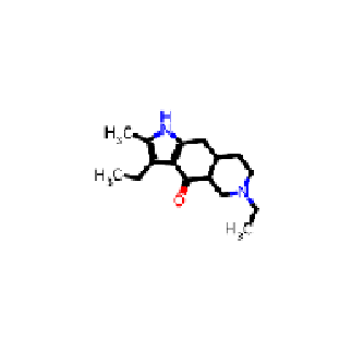 CCc1c(C)[nH]c2c1C(=O)C1CN(CC)CCC1C2